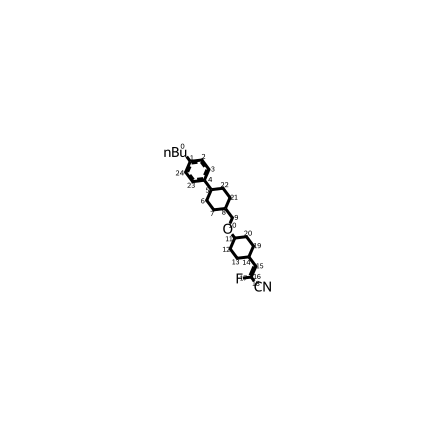 CCCCc1ccc(C2CCC(COC3CCC(C=C(F)C#N)CC3)CC2)cc1